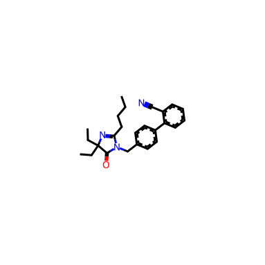 CCCCC1=NC(CC)(CC)C(=O)N1Cc1ccc(-c2ccccc2C#N)cc1